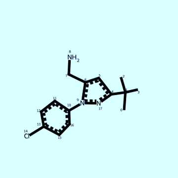 CC(C)(C)c1cc(CN)n(-c2ccc(Cl)cc2)n1